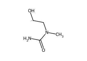 CN(C[CH]O)C(N)=O